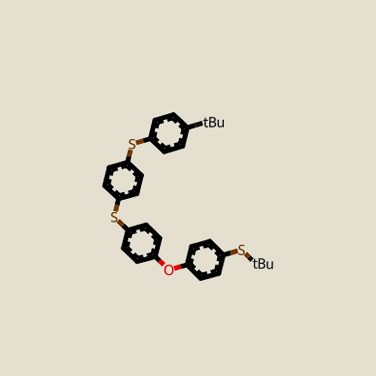 CC(C)(C)Sc1ccc(Oc2ccc(Sc3ccc(Sc4ccc(C(C)(C)C)cc4)cc3)cc2)cc1